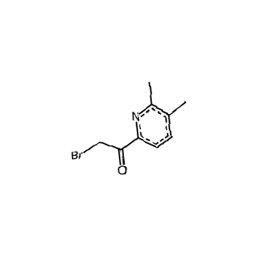 Cc1ccc(C(=O)CBr)nc1C